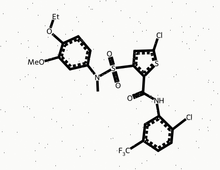 CCOc1ccc(N(C)S(=O)(=O)c2cc(Cl)sc2C(=O)Nc2cc(C(F)(F)F)ccc2Cl)cc1OC